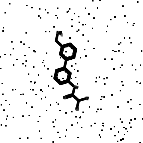 NCc1cccc(-c2cccc(NC(=O)C(Cl)Cl)c2)c1